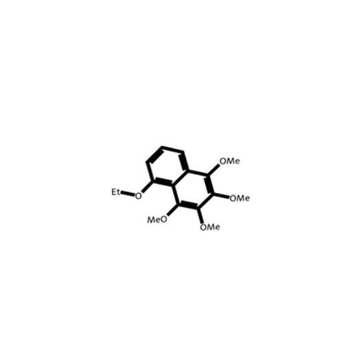 [CH2]COc1cccc2c(OC)c(OC)c(OC)c(OC)c12